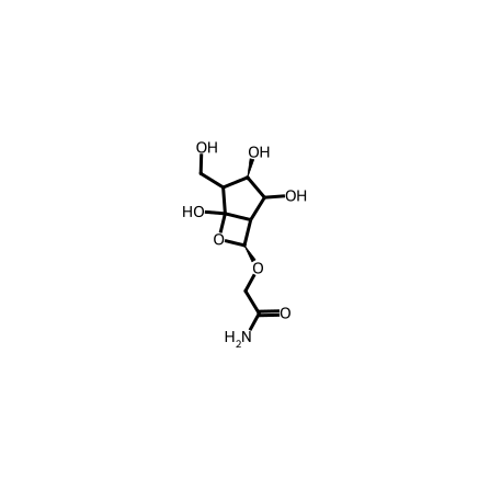 NC(=O)CO[C@H]1OC2(O)C1C(O)[C@H](O)C2CO